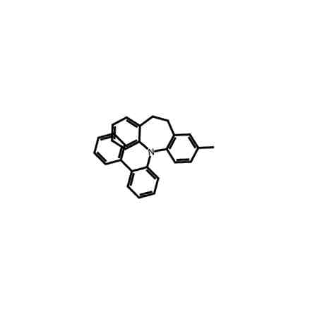 Cc1ccc2c(c1)CCc1ccccc1N2c1ccccc1-c1ccccc1